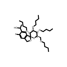 CCCCOC[C@H]1O[C@]2(OCc3cc(F)c(C(C)O)cc32)[C@H](OCCCC)[C@@H](OCCCC)[C@@H]1OCCCC